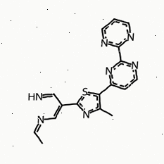 C/C=N\C=C(/C=N)c1nc(C)c(-c2ccnc(-c3ncccn3)n2)s1